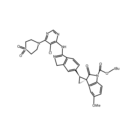 COc1ccc2c(c1)[C@]1(C[C@H]1c1ccc3c(c1)CN=C3Nc1ncnc(N3CCS(=O)(=O)CC3)c1Cl)C(=O)N2C(=O)OC(C)(C)C